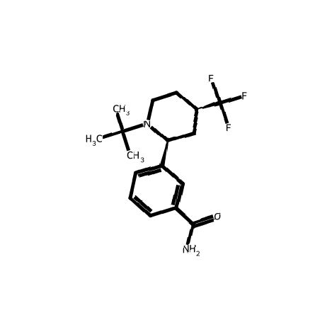 CC(C)(C)N1CC[C@@H](C(F)(F)F)C[C@H]1c1cccc(C(N)=O)c1